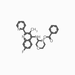 Cc1c(-c2ccccn2)nc2cc(F)ccc2c1NC1COCCN1OC(=O)c1ccccc1